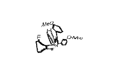 COc1cccc(-c2nc(-c3c(F)cccc3F)[nH]c2-c2cccc(OC)c2)c1